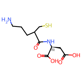 NCCCC(CS)C(=O)N[C@@H](CC(=O)O)C(=O)O